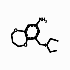 CCN(CC)Cc1cc(N)cc2c1OCCCO2